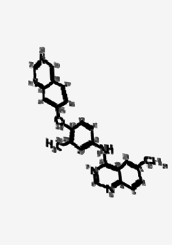 Cc1ccc2ncnc(Nc3ccc(Oc4ccc5cncnc5c4)c(C)c3)c2c1